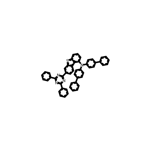 c1ccc(-c2ccc(N(c3ccc(-c4ccccc4)cc3)c3cccc4sc5cc(-c6nc(-c7ccccc7)nc(-c7ccccc7)n6)ccc5c34)cc2)cc1